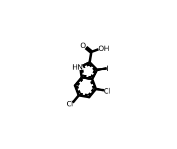 O=C(O)c1[nH]c2cc(Cl)cc(Cl)c2c1I